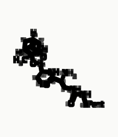 CCCCCNC(=O)NC[C@H](N)C(=O)N[C@@H](CC(C)C)B1O[C@@H]2C[C@@H]3C[C@@H](C3(C)C)[C@]2(C)O1